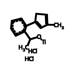 CC1=CCC(c2ccccc2C(C)[O][Ti])=C1.Cl.Cl